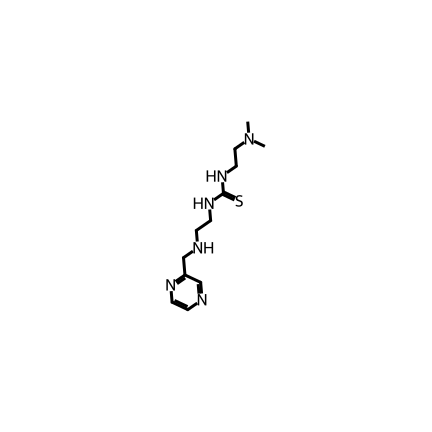 CN(C)CCNC(=S)NCCNCc1cnccn1